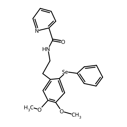 COc1cc(CCNC(=O)c2ccccn2)c([Se]c2ccccc2)cc1OC